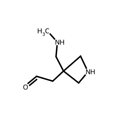 CNCC1(CC=O)CNC1